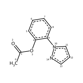 CC(=O)Oc1ccccc1-n1cccn1